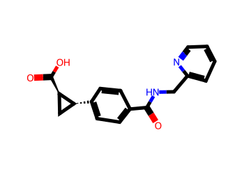 O=C(NCc1ccccn1)c1ccc([C@@H]2C[C@H]2C(=O)O)cc1